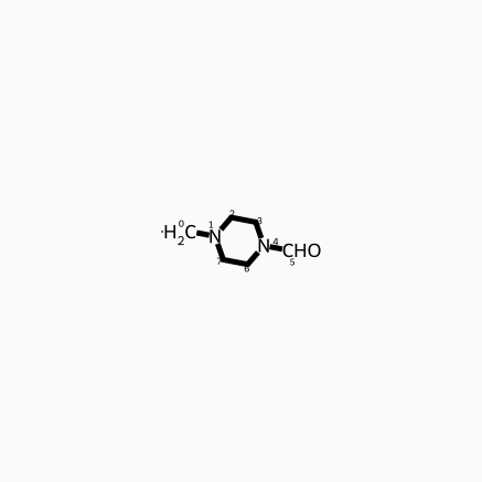 [CH2]N1CCN(C=O)CC1